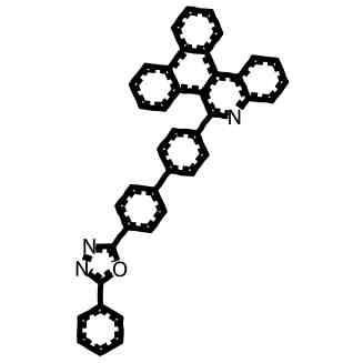 c1ccc(-c2nnc(-c3ccc(-c4ccc(-c5nc6ccccc6c6c7ccccc7c7ccccc7c56)cc4)cc3)o2)cc1